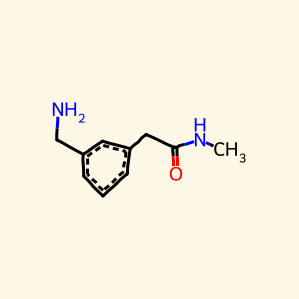 CNC(=O)Cc1cccc(CN)c1